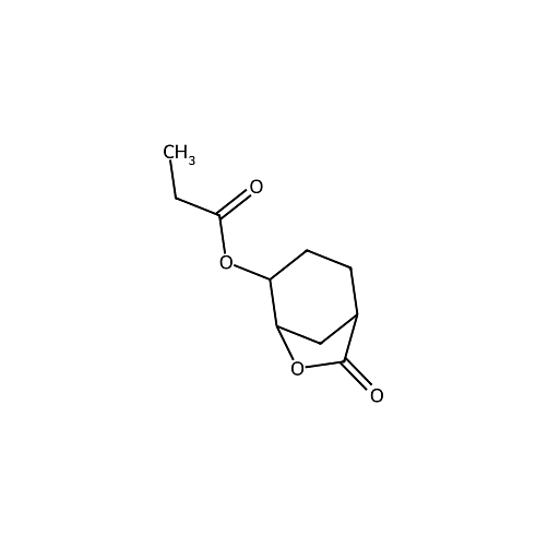 CCC(=O)OC1CCC2CC1OC2=O